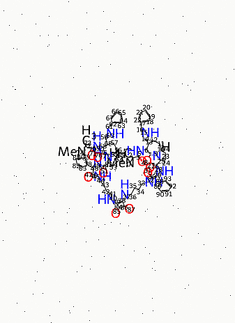 CN[C@@H](C)C(=O)N[C@@H]1C(=O)N2[C@@H](CC[C@@H]1CNCc1ccccc1)CC[C@H]2C(=O)N[C@H](C(=O)NCCCCNc1c(NCCCCNC(=O)[C@@H](NC(=O)[C@@H]2CC[C@@H]3CC[C@H](CNCc4ccccc4)[C@H](NC(=O)[C@H](C)NC)C(=O)N32)c2ccccc2)c(=O)c1=O)c1ccccc1